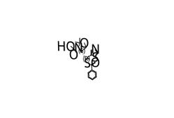 CC1(C)OC[C@H](C[C@@H](SC(=O)c2ccccc2)c2cncs2)N1C(=O)O